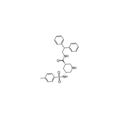 Cc1ccc(S(=O)(=O)N[C@H]2CNC[C@H](C(=O)NCC(c3ccccc3)c3ccccc3)C2)cc1